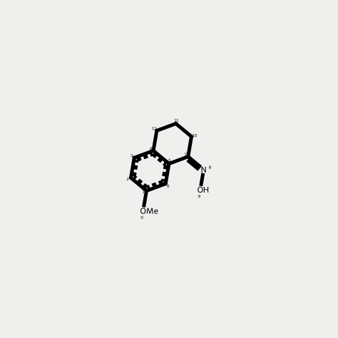 COc1ccc2c(c1)/C(=N\O)CCC2